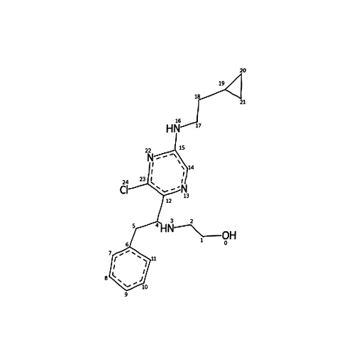 OCCNC(Cc1ccccc1)c1ncc(NCCC2CC2)nc1Cl